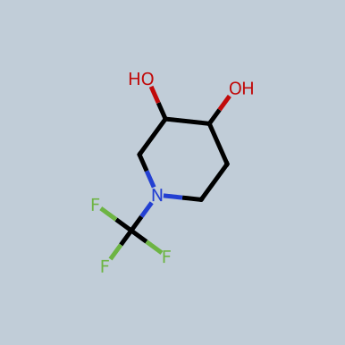 OC1CCN(C(F)(F)F)CC1O